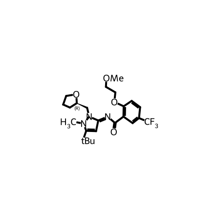 COCCOc1ccc(C(F)(F)F)cc1C(=O)N=c1cc(C(C)(C)C)n(C)n1C[C@H]1CCCO1